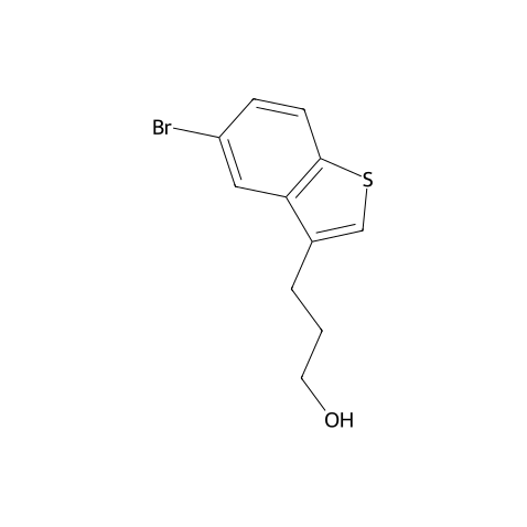 OCCCc1csc2ccc(Br)cc12